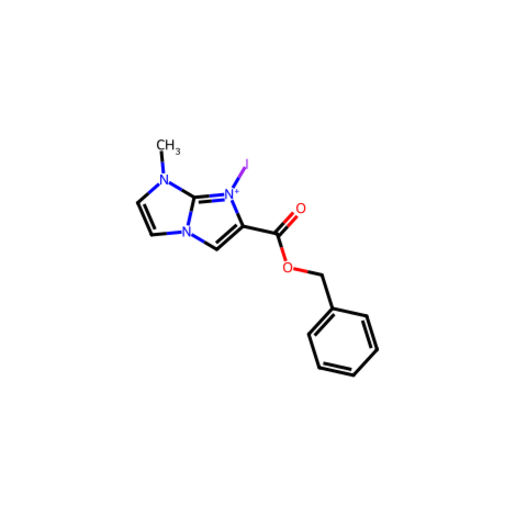 Cn1ccn2cc(C(=O)OCc3ccccc3)[n+](I)c12